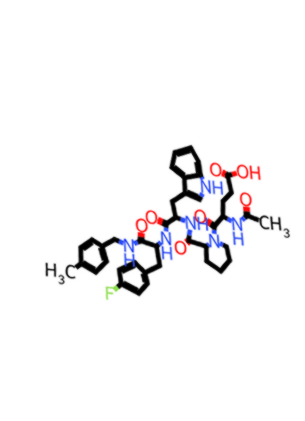 CC(=O)NC(CCC(=O)O)C(=O)N1CCCCC1C(=O)NC(Cc1c[nH]c2ccccc12)C(=O)NC(Cc1ccc(F)cc1)C(=O)NCc1ccc(C)cc1